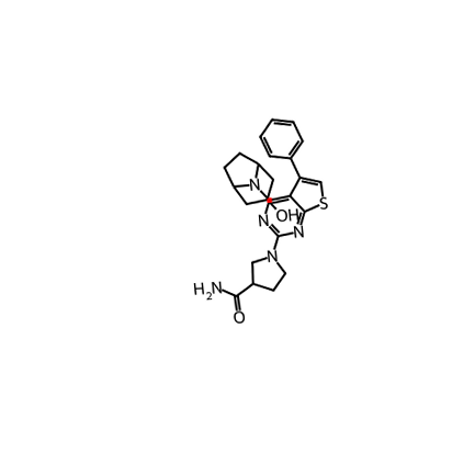 NC(=O)C1CCN(c2nc(N3C4CCC3CC(O)C4)c3c(-c4ccccc4)csc3n2)C1